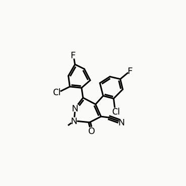 Cn1nc(-c2ccc(F)cc2Cl)c(-c2ccc(F)cc2Cl)c(C#N)c1=O